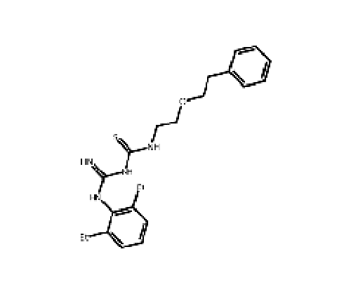 CCc1cccc(CC)c1NC(=N)NC(=S)NCCOCCc1ccccc1